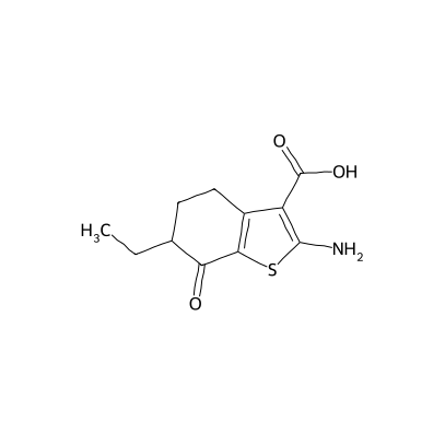 CCC1CCc2c(sc(N)c2C(=O)O)C1=O